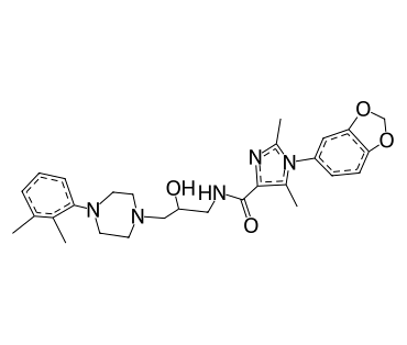 Cc1cccc(N2CCN(CC(O)CNC(=O)c3nc(C)n(-c4ccc5c(c4)OCO5)c3C)CC2)c1C